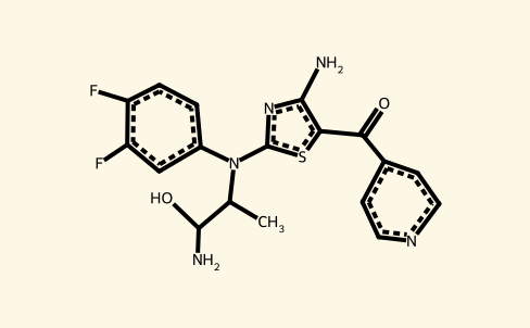 CC(C(N)O)N(c1ccc(F)c(F)c1)c1nc(N)c(C(=O)c2ccncc2)s1